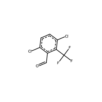 O=Cc1c(Cl)ccc(Cl)c1C(F)(F)F